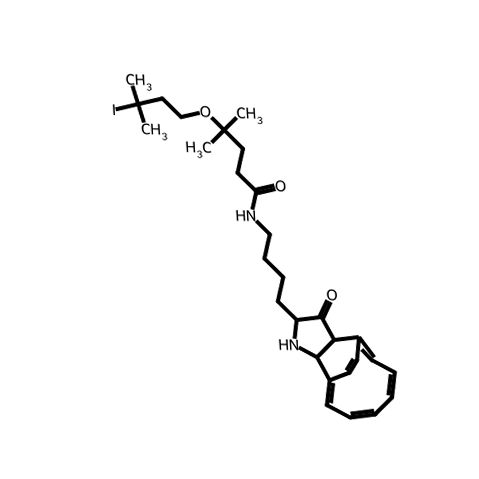 CC(C)(I)CCOC(C)(C)CCC(=O)NCCCCC1NC2/C3=C/C=C\C=C/C=C(C=C3)/C2C1=O